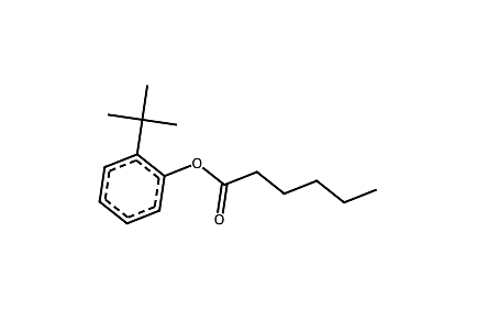 CCCCCC(=O)Oc1ccccc1C(C)(C)C